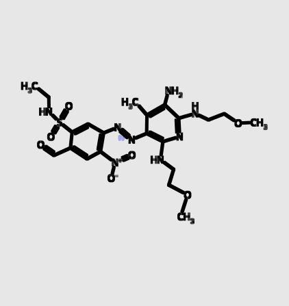 CCNS(=O)(=O)c1cc(/N=N/c2c(NCCOC)nc(NCCOC)c(N)c2C)c([N+](=O)[O-])cc1C=O